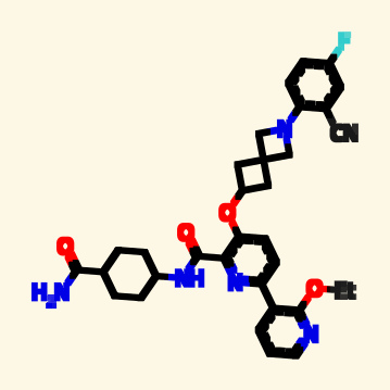 CCOc1ncccc1-c1ccc(OC2CC3(C2)CN(c2ccc(F)cc2C#N)C3)c(C(=O)NC2CCC(C(N)=O)CC2)n1